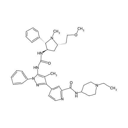 CCN1CCC(NC(=O)c2cc(-c3nn(-c4ccccc4)c(NC(=O)N[C@@H]4C[C@@H](CCOC)N(C)[C@H]4c4ccccc4)c3C)ccn2)CC1